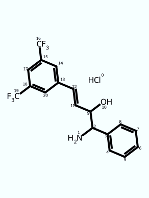 Cl.NC(c1ccccc1)C(O)C=Cc1cc(C(F)(F)F)cc(C(F)(F)F)c1